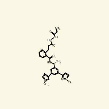 C=CC(=O)NNC(=O)CCc1ccccc1C(=O)N[C@H](C)c1cc(-c2cnn(C)c2)cc(-c2ccn(CC)n2)c1